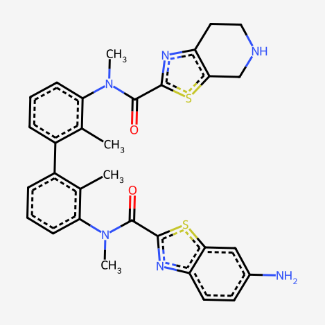 Cc1c(-c2cccc(N(C)C(=O)c3nc4ccc(N)cc4s3)c2C)cccc1N(C)C(=O)c1nc2c(s1)CNCC2